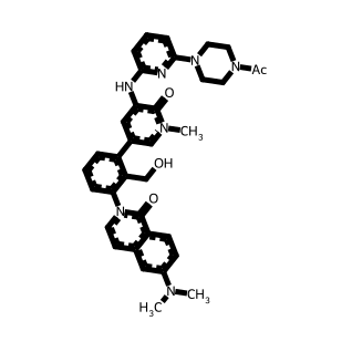 CC(=O)N1CCN(c2cccc(Nc3cc(-c4cccc(-n5ccc6cc(N(C)C)ccc6c5=O)c4CO)cn(C)c3=O)n2)CC1